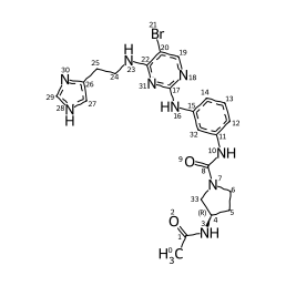 CC(=O)N[C@@H]1CCN(C(=O)Nc2cccc(Nc3ncc(Br)c(NCCc4c[nH]cn4)n3)c2)C1